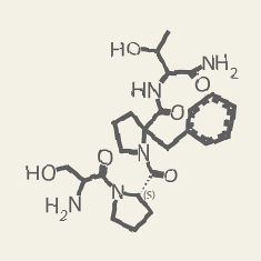 CC(O)C(NC(=O)C1(Cc2ccccc2)CCCN1C(=O)[C@@H]1CCCN1C(=O)C(N)CO)C(N)=O